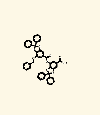 O=C(O)c1cc(OC(=O)c2cc(OCc3ccccc3)c3c(c2)OC(c2ccccc2)(c2ccccc2)O3)c2c(c1)OC(c1ccccc1)(c1ccccc1)O2